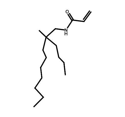 C=CC(=O)NCC(C)(CCCC)CCCCCCC